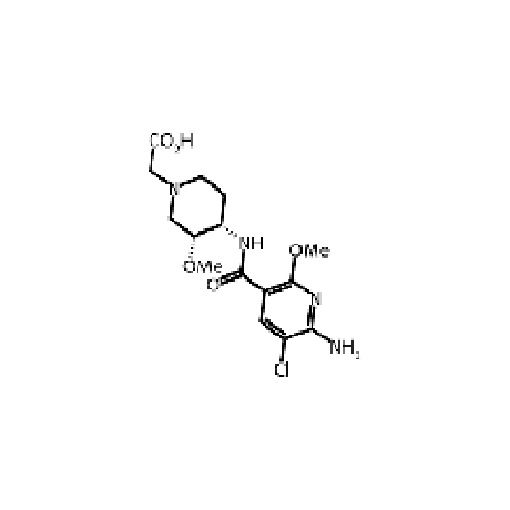 COc1nc(N)c(Cl)cc1C(=O)N[C@H]1CCN(CC(=O)O)C[C@H]1OC